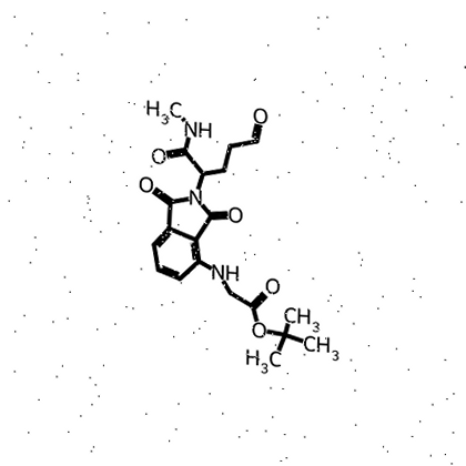 CNC(=O)C(CCC=O)N1C(=O)c2cccc(NCC(=O)OC(C)(C)C)c2C1=O